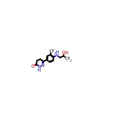 O=C1CCC(c2ccc(NCC(O)C(F)(F)F)c(C(F)(F)F)c2)=NN1